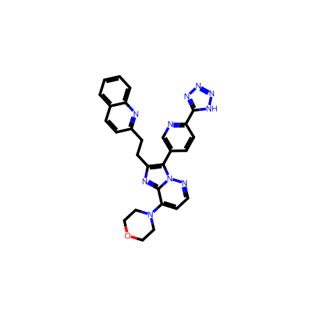 c1ccc2nc(CCc3nc4c(N5CCOCC5)ccnn4c3-c3ccc(-c4nnn[nH]4)nc3)ccc2c1